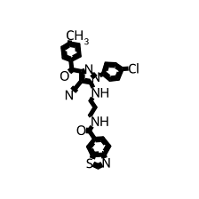 Cc1ccc(C(=O)c2nn(-c3ccc(Cl)cc3)c(NCCCNC(=O)c3ccc4ncsc4c3)c2C#N)cc1